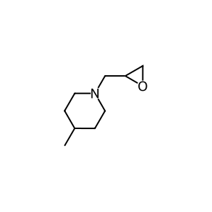 CC1CCN(CC2CO2)CC1